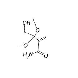 C=C(C(N)=O)C(CO)(OC)OC